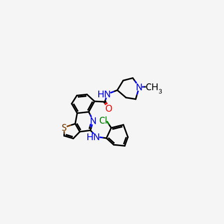 CN1CCC(NC(=O)c2cccc3c2nc(Nc2ccccc2Cl)c2ccsc23)CC1